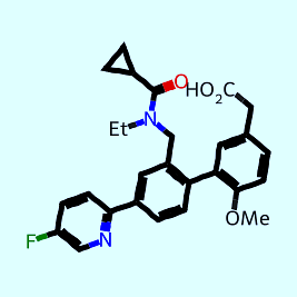 CCN(Cc1cc(-c2ccc(F)cn2)ccc1-c1cc(CC(=O)O)ccc1OC)C(=O)C1CC1